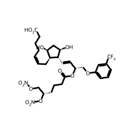 O=C(O)CCC/C=C\C[C@@H]1[C@@H](/C=C/[C@H](COc2cccc(C(F)(F)F)c2)OC(=O)CCC[C@@H](CO[N+](=O)[O-])O[N+](=O)[O-])[C@H](O)C[C@@H]1O